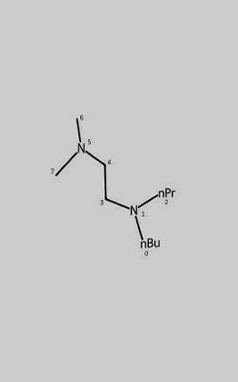 CCCCN(CCC)CCN(C)C